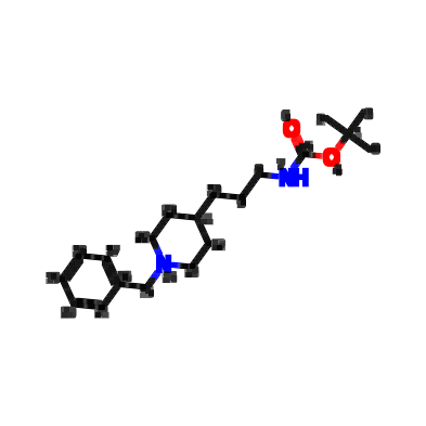 CC(C)(C)OC(=O)NCCCC1CCN(Cc2ccccc2)CC1